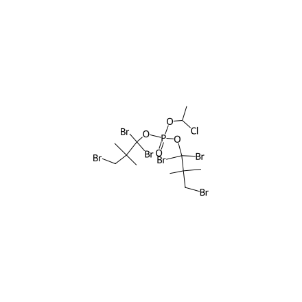 CC(Cl)OP(=O)(OC(Br)(Br)C(C)(C)CBr)OC(Br)(Br)C(C)(C)CBr